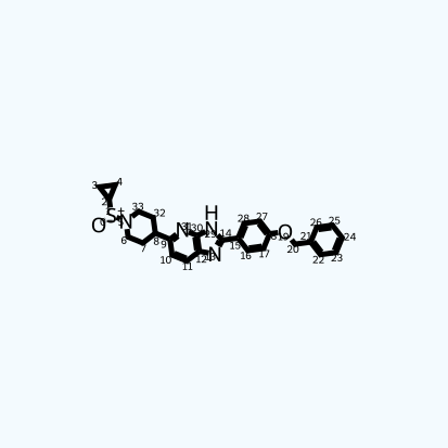 [O-][S+](C1CC1)N1CCC(c2ccc3nc(-c4ccc(OCc5ccccc5)cc4)[nH]c3n2)CC1